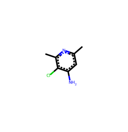 Cc1cc(N)c(Cl)c(C)n1